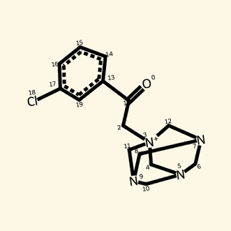 O=C(C[N+]12CN3CN(CN(C3)C1)C2)c1cccc(Cl)c1